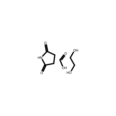 O=C1CCC(=O)N1.O=CO.OCCO